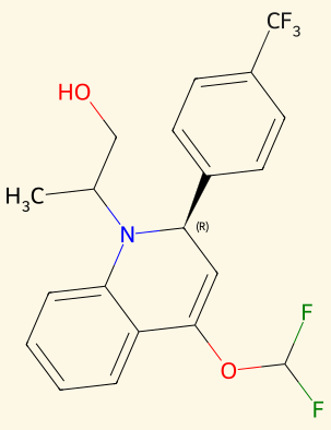 CC(CO)N1c2ccccc2C(OC(F)F)=C[C@@H]1c1ccc(C(F)(F)F)cc1